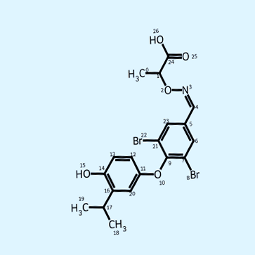 CC(O/N=C\c1cc(Br)c(Oc2ccc(O)c(C(C)C)c2)c(Br)c1)C(=O)O